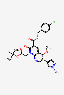 COc1c(-c2cnn(C)c2)cnc2c1cc(C(=O)NCc1ccc(Cl)cc1)c(=O)n2CC(=O)OC(C)(C)C